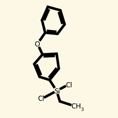 CC[Si](Cl)(Cl)c1ccc(Oc2ccccc2)cc1